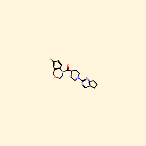 O=C(C1CCN(c2ncc3c(n2)CCC3)CC1)N1CCOCc2cc(Cl)ccc21